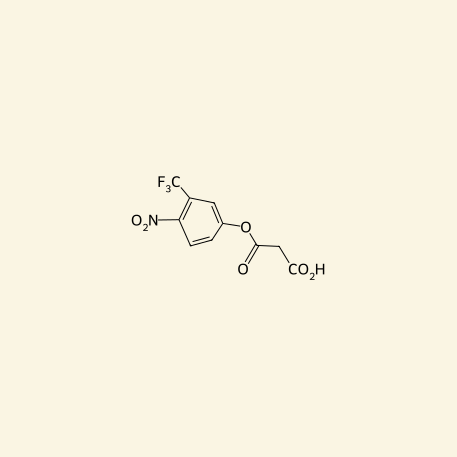 O=C(O)CC(=O)Oc1ccc([N+](=O)[O-])c(C(F)(F)F)c1